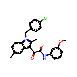 COc1cccc(NC(=O)C(=O)c2c(C)n(Cc3ccc(Cl)cc3)c3ccc(C)cc23)c1